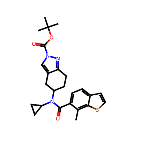 Cc1c(C(=O)N(C2CC2)C2CCc3nn(C(=O)OC(C)(C)C)cc3C2)ccc2ccsc12